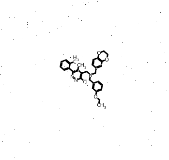 CCOc1cccc(CN(Cc2ccc3c(c2)OCCO3)Cc2c(Cl)nnc(-c3ccccc3C)c2C)c1